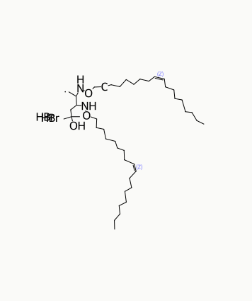 Br.Br.[CH2]C(NOCCCCCCCC/C=C\CCCCCCCC)C(CC(C)(C)O)NOCCCCCCCC/C=C\CCCCCCCC